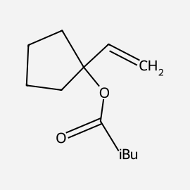 C=CC1(OC(=O)C(C)CC)CCCC1